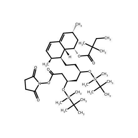 CCC(C)(C)C(=O)O[C@H]1C[C@@H](C)C=C2C=C[C@H](C)[C@H](CC[C@H](C[C@H](CC(=O)ON3C(=O)CCC3=O)O[Si](C)(C)C(C)(C)C)O[Si](C)(C)C(C)(C)C)[C@H]21